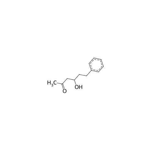 CC(=O)CC(O)CCc1ccccc1